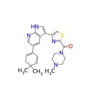 CN1CCN(C(=O)c2nc(-c3c[nH]c4ncc(C5=CCC(C)(C)C=C5)cc34)cs2)CC1